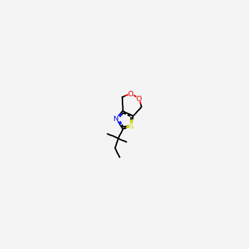 CCC(C)(C)c1nc2c(s1)COOC2